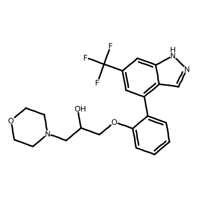 OC(COc1ccccc1-c1cc(C(F)(F)F)cc2[nH]ncc12)CN1CCOCC1